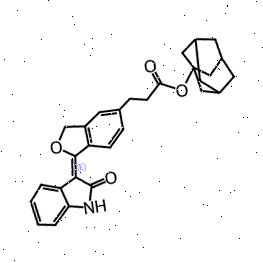 O=C(CCc1ccc2c(c1)CO/C2=C1/C(=O)Nc2ccccc21)OC12CC3CC(CC(C3)C1)C2